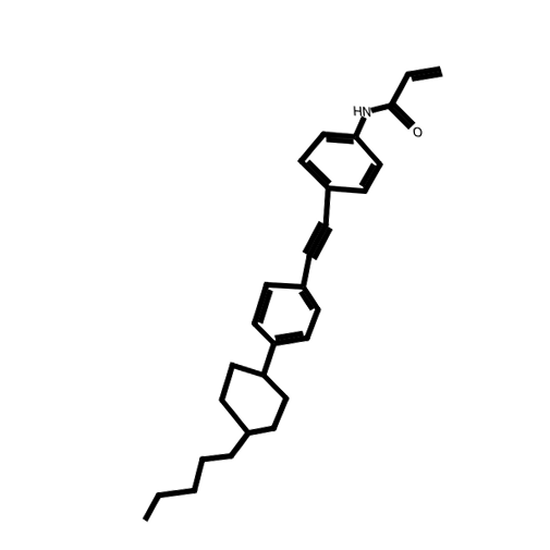 C=CC(=O)Nc1ccc(C#Cc2ccc(C3CCC(CCCCC)CC3)cc2)cc1